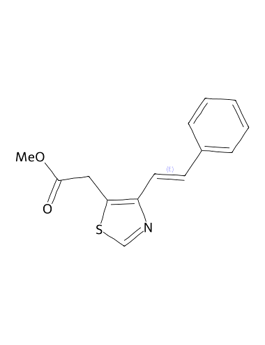 COC(=O)Cc1scnc1/C=C/c1ccccc1